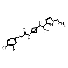 CCn1ccc(C(O)NC23CC(NC(=O)COc4ccc(Cl)c(F)c4)(C2)C3)n1